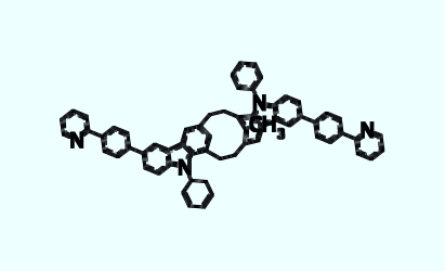 Cc1c2cc3c4cc(-c5ccc(-c6ccccn6)cc5)ccc4n(-c4ccccc4)c3c1CCc1cc(c3c(c1)c1cc(-c4ccc(-c5ccccn5)cc4)ccc1n3C1C=CC=CC1)CC2